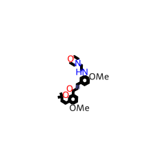 COc1ccc(/C=C/C(=O)c2ccc(OC)c3c2OC(C)(C)C=C3)cc1NCCN1CCOCC1